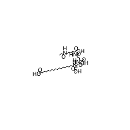 CCC(=O)NCCCCC(NC(=O)CCC(NC(=O)C(CSO)NC(=O)CCCCCCCCCCCCCCCCC(=O)O)C(=O)O)C(=O)O